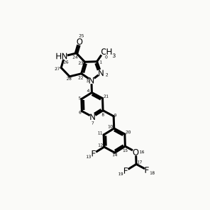 Cc1nn(-c2ccnc(Cc3cc(F)cc(OC(F)F)c3)c2)c2c1C(=O)NCC2